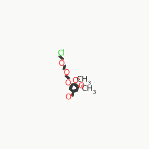 COc1cc(C=O)cc(OCCOCCOCCCl)c1OC